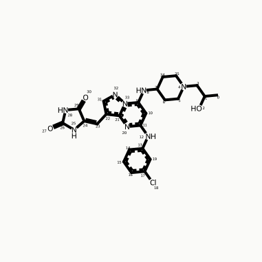 CC(O)CN1CCC(Nc2cc(Nc3cccc(Cl)c3)nc3c(/C=C4/NC(=O)NC4=O)cnn23)CC1